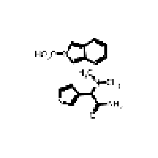 CN(C)C(C(N)=O)c1ccsc1.O=C(O)n1cc2ccccc2c1